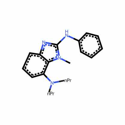 CCCN(CCC)c1cccc2nc(Nc3ccccc3)n(C)c12